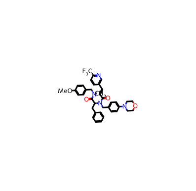 COc1ccc(CN(C)C(=O)C(Cc2ccccc2)N(Cc2ccc(N3CCOCC3)cc2)C(=O)C=Cc2ccc(C(F)(F)F)nc2)cc1